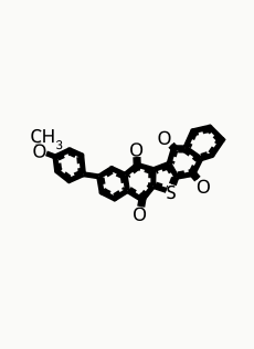 COc1ccc(-c2ccc3c(=O)c4sc5c(=O)c6ccccc6c(=O)c5c4c(=O)c3c2)cc1